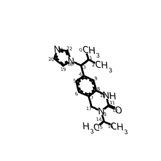 CC(C)C(c1ccc2c(c1)NC(=O)N(C(C)C)C2)n1ccnc1